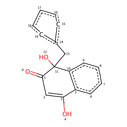 O=C1C=C(O)c2ccccc2C1(O)Cc1ccccc1